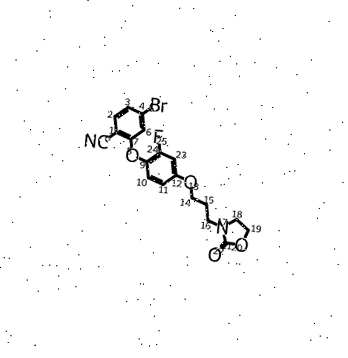 N#Cc1ccc(Br)cc1Oc1ccc(OCCCN2CCOC2=O)cc1F